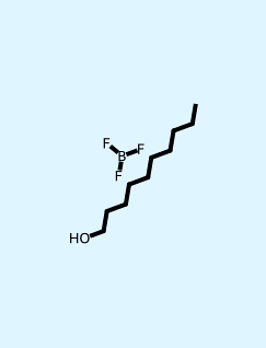 CCCCCCCCCCO.FB(F)F